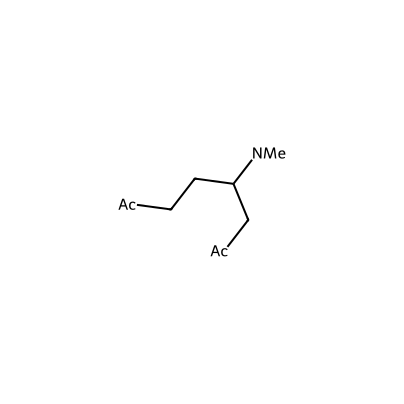 CNC(CCC(C)=O)CC(C)=O